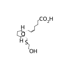 O=C(O)CCC/C=C\C[C@@H]1[C@H](CSCCO)[C@@H]2CC[C@H]1O2